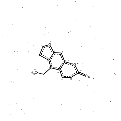 CCc1c2ccoc2cc2oc(=O)ccc12